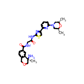 C[C@@H]1CN(c2cccc(-c3csc(NC(=O)CNC(=O)c4ccc5c(c4)[C@@](C)(N)COC5)n3)n2)C[C@H](C)O1